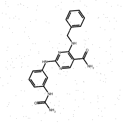 NC(=O)Nc1cccc(Nc2ncc(C(N)=O)c(NCc3ccccc3)n2)c1